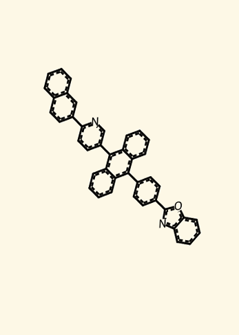 c1ccc2cc(-c3ccc(-c4c5ccccc5c(-c5ccc(-c6nc7ccccc7o6)cc5)c5ccccc45)cn3)ccc2c1